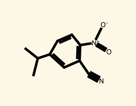 C[C](C)c1ccc([N+](=O)[O-])c(C#N)c1